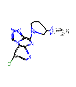 O=C(O)NC1CCN(c2nc3ncc(Cl)cc3n3cnnc23)C1